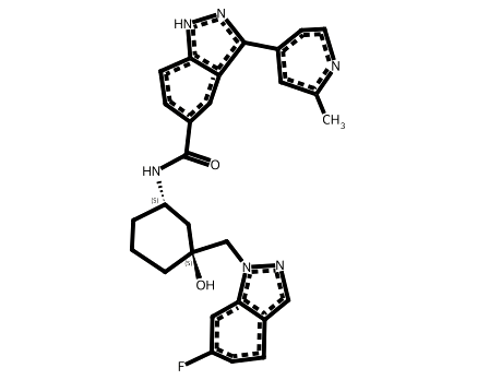 Cc1cc(-c2n[nH]c3ccc(C(=O)N[C@H]4CCC[C@@](O)(Cn5ncc6ccc(F)cc65)C4)cc23)ccn1